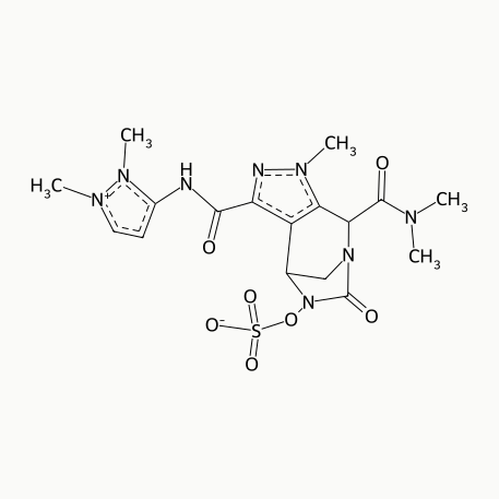 CN(C)C(=O)C1c2c(c(C(=O)Nc3cc[n+](C)n3C)nn2C)C2CN1C(=O)N2OS(=O)(=O)[O-]